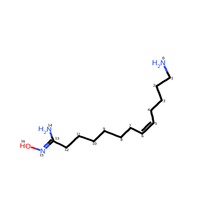 NCCCC/C=C\CCCCCC/C(N)=N/O